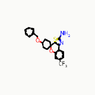 Nc1nc2c(s1)C1(CCC(OCc3ccccc3)CC1)Oc1cc(C(F)(F)F)ccc1-2